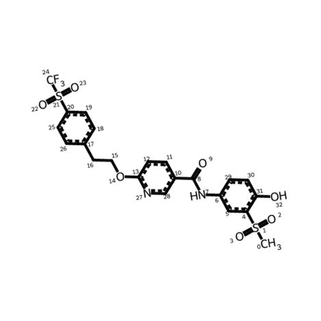 CS(=O)(=O)c1cc(NC(=O)c2ccc(OCCc3ccc(S(=O)(=O)C(F)(F)F)cc3)nc2)ccc1O